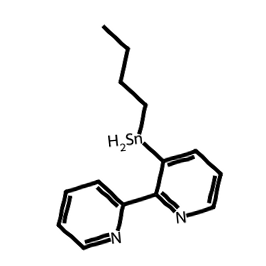 CCC[CH2][SnH2][c]1cccnc1-c1ccccn1